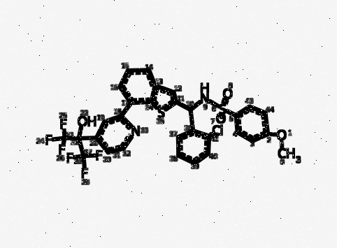 COc1ccc(S(=O)(=O)NC(c2cc3cccc(-c4cc(C(O)(C(F)(F)F)C(F)(F)F)ccn4)c3s2)c2ccccc2Cl)cc1